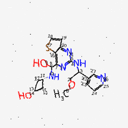 COCC(Nc1nc(C(O)N[C@H]2C[C@@H](O)C2)c2sccc2n1)c1cccnc1